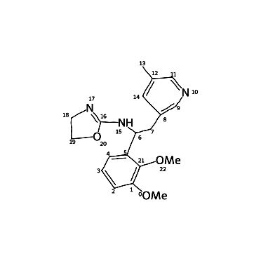 COc1cccc(C(Cc2cncc(C)c2)NC2=NCCO2)c1OC